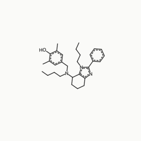 CCCCN(Cc1cc(C)c(O)c(C)c1)C1CCCc2nc(-c3ccccc3)n(CCCC)c21